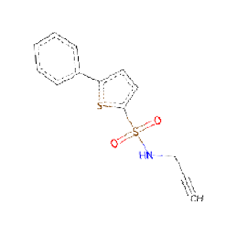 C#CCNS(=O)(=O)c1ccc(-c2ccccc2)s1